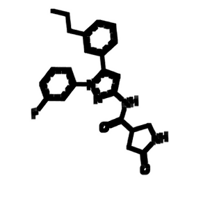 CCCc1cccc(-c2cc(NC(=O)C3CNC(=O)C3)nn2-c2cccc(F)c2)c1